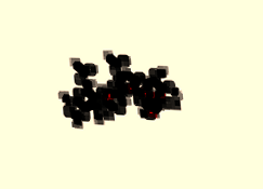 CCC1(C(=O)OC)O[C@@H](O[C@H]2CC(OC(C)=O)[C@H](O[C@H]3C(OC)[C@H]4OCC3(C(=O)OC)O[C@H]4O[C@@H]3C(COC(C)=O)O[C@H](OC)C(OC(C)=O)C3OC)OC2COC(C)=O)[C@@H](OC)C(OC)[C@@H]1O